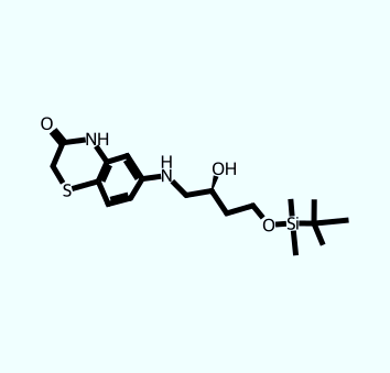 CC(C)(C)[Si](C)(C)OCC[C@H](O)CNc1ccc2c(c1)NC(=O)CS2